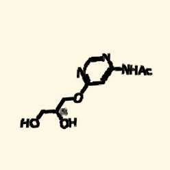 CC(=O)Nc1cc(OC[C@@H](O)CO)ncn1